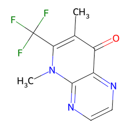 Cc1c(C(F)(F)F)n(C)c2nccnc2c1=O